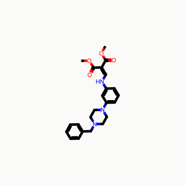 COC(=O)C(=CNc1cccc(N2CCN(Cc3ccccc3)CC2)c1)C(=O)OC